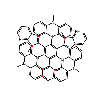 CN1c2ccccc2N(c2c(-c3ccccc3)c(N3c4ccccc4N(C)c4ccccc43)c(-c3nc4cccnc4n3C)c(N3c4ccccc4N(C)c4ccccc43)c2-c2nc3cccnc3n2C)c2ccccc21